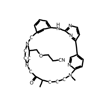 CC1CCCN(C)c2ccc(cn2)-c2ccnc(n2)Nc2cccc(c2)CN2CCN(CC1=O)CC2COCCC#N